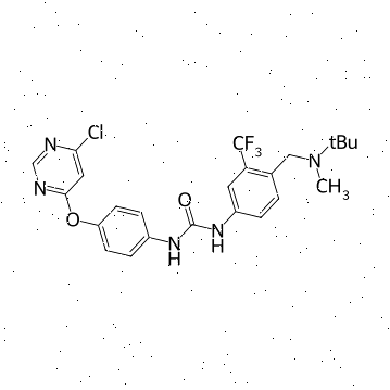 CN(Cc1ccc(NC(=O)Nc2ccc(Oc3cc(Cl)ncn3)cc2)cc1C(F)(F)F)C(C)(C)C